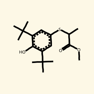 COC(=O)C(C)Sc1cc(C(C)(C)C)c(O)c(C(C)(C)C)c1